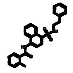 Cc1ccccc1C(=O)Nc1ccc(S(=O)(=O)NCCc2ccccc2)c2ccccc12